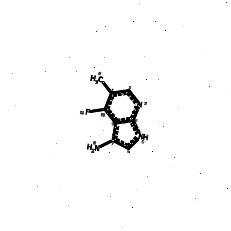 Cc1cnc2[nH]cc(N)c2c1F